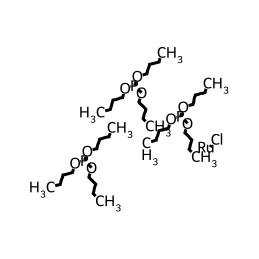 CCCCOP(OCCCC)OCCCC.CCCCOP(OCCCC)OCCCC.CCCCOP(OCCCC)OCCCC.[Cl][Ru]